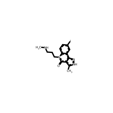 CNCCCn1c(=O)c2c(C)[nH]nc2c2cc(I)ccc21